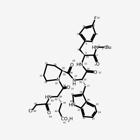 CC(C)(C)NC(=O)[C@H](Cc1ccc(F)cc1)NC(=O)[C@H](Cc1c[nH]c2ccccc12)NC(=O)[C@@H]1CCCCN1C(=O)[C@H](CCC(=O)O)NC(=O)CCl